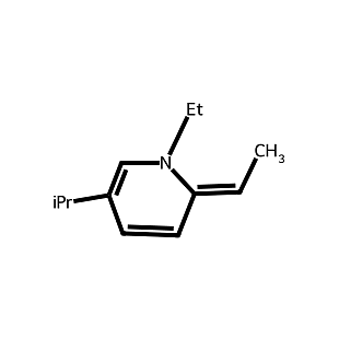 C/C=C1/C=CC(C(C)C)=CN1CC